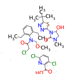 CCc1cccc(CC)c1N(COC)C(=O)CCl.CN1CC(O)N(c2nnc(C(C)(C)C)s2)C1=O.O=C(O)c1nc(Cl)ccc1Cl